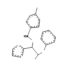 CC(Oc1ccccc1)C(NC(=O)c1ccc(I)cc1)c1ncc[nH]1